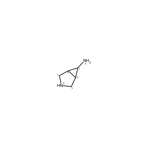 NC1[C]2CNCC21